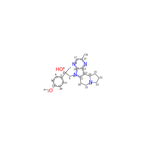 COc1ccc(C(C)(O)Cn2c3c(c4nc(C)cnc42)C2CCCN2CC3)cc1